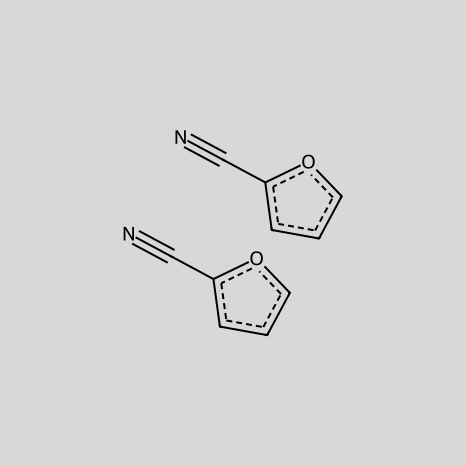 N#Cc1ccco1.N#Cc1ccco1